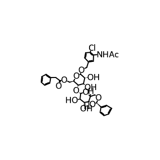 CC(=O)Nc1cc(CO[C@@H]2O[C@H](COC(=O)Cc3ccccc3)[C@@H](O[C@@H]3O[C@@H]4CO[C@@H](c5ccccc5)O[C@H]4[C@H](O)[C@H]3O)[C@H](O)[C@H]2O)ccc1Cl